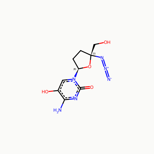 [N-]=[N+]=N[C@@]1(CO)CC[C@H](n2cc(O)c(N)nc2=O)O1